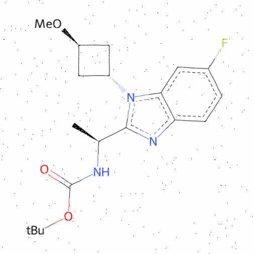 CO[C@H]1C[C@H](n2c([C@H](C)NC(=O)OC(C)(C)C)nc3ccc(F)cc32)C1